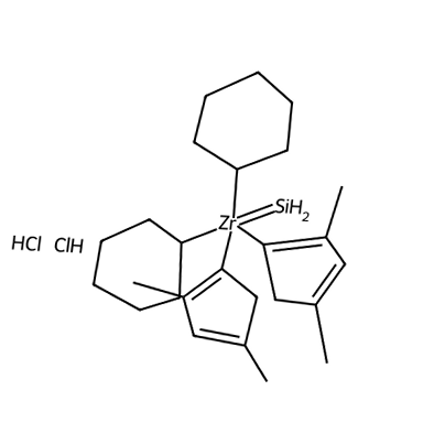 CC1=CC(C)=[C]([Zr](=[SiH2])([C]2=C(C)C=C(C)C2)([CH]2CCCCC2)[CH]2CCCCC2)C1.Cl.Cl